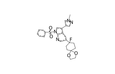 Cn1cc(-c2cn(S(=O)(=O)c3ccccc3)c3ncc(C4(F)CCC5(CC4)OCCO5)cc23)cn1